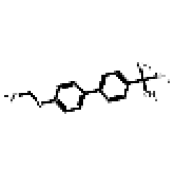 CCOc1[c]cc(-c2ccc(C(C)(C)N)cc2)cc1